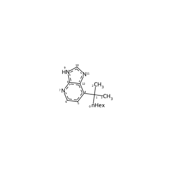 CCCCCCC(C)(C)c1ccnc2[nH]cnc12